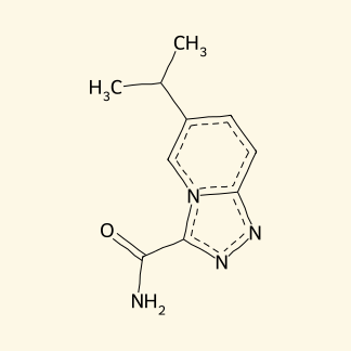 CC(C)c1ccc2nnc(C(N)=O)n2c1